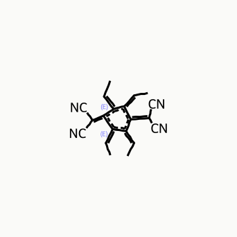 CC=c1c(=C(C#N)C#N)c(=CC)/c(=C\C)c(=C(C#N)C#N)/c1=C/C